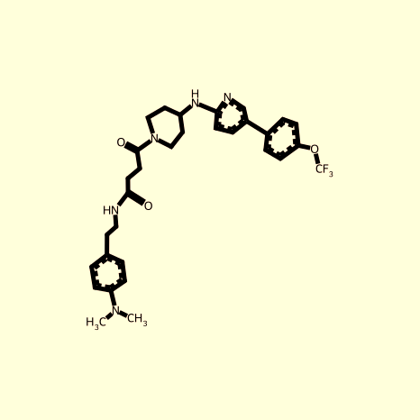 CN(C)c1ccc(CCNC(=O)CCC(=O)N2CCC(Nc3ccc(-c4ccc(OC(F)(F)F)cc4)cn3)CC2)cc1